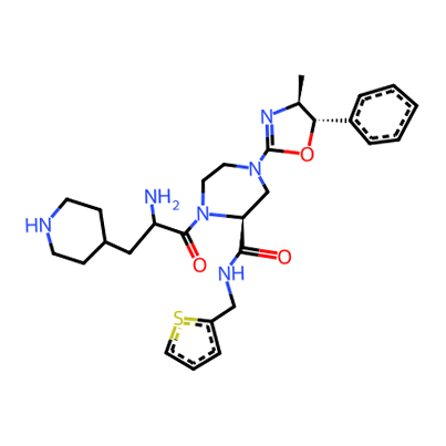 C[C@@H]1N=C(N2CCN(C(=O)C(N)CC3CCNCC3)[C@H](C(=O)NCc3cccs3)C2)O[C@H]1c1ccccc1